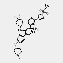 CN1CCC(Oc2ccc(C3=CNC(N)(c4ccnc(-c5cnn(S(=O)(=O)C6CC6)c5)n4)C=C3NC3CCC(F)(F)CC3)nc2)CC1